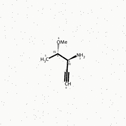 C#C[C@H](N)[C@H](C)OC